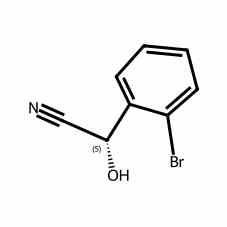 N#C[C@@H](O)c1ccccc1Br